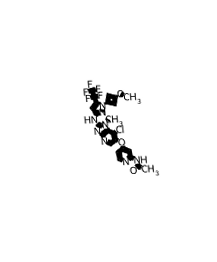 CO[C@H]1C[C@@H](n2nc(Nc3nc4ncc(Oc5ccnc(NC(C)=O)c5)c(Cl)c4n3C)cc2C(F)(F)C(F)(F)F)C1